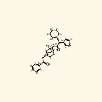 O=C(C[N+]12CCC(CC1)[C@@H](OC(=O)C(c1ccsc1)N1CCCCC1)C2)c1ccccc1